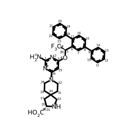 Nc1nc(O[C@H](c2cc(-c3ccccc3)ccc2-c2ccccc2)C(F)(F)F)cc(N2CCC3(CC2)CN[C@H](C(=O)O)C3)n1